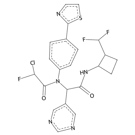 O=C(NC1CCC1C(F)F)C(c1cncnc1)N(C(=O)C(F)Cl)c1ccc(-c2nccs2)cc1